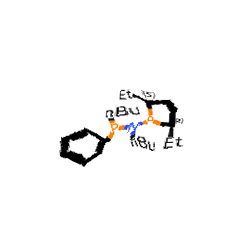 CCCCN(P(CCCC)c1ccccc1)P1[C@H](CC)CC[C@@H]1CC